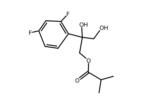 CC(C)C(=O)OCC(O)(CO)c1ccc(F)cc1F